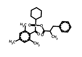 Cc1cc(C)c(C(=O)P(=O)(OC(=O)C(C)Cc2ccccc2)C2CCCCC2)c(C)c1